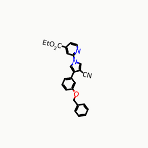 CCOC(=O)c1ccnc(-n2cc(C#N)c(-c3cccc(OCc4ccccc4)c3)c2)c1